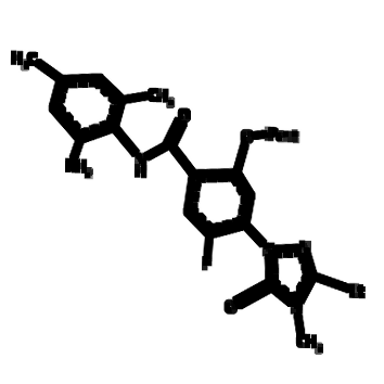 CCCC(C)Oc1cc(-n2nc(CC)n(C)c2=O)c(F)cc1C(=O)Nc1c(C)cc(C)cc1N